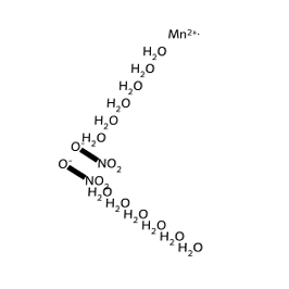 O.O.O.O.O.O.O.O.O.O.O.O.O=[N+]([O-])[O-].O=[N+]([O-])[O-].[Mn+2]